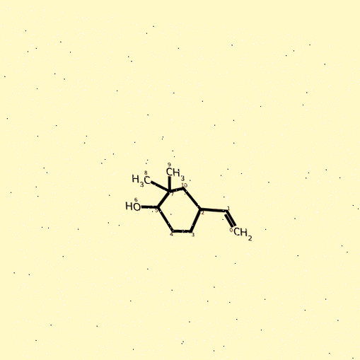 C=CC1CCC(O)C(C)(C)C1